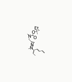 C=C/C=C/C(=C\C)N(C)N1C=C1CN(C)C(=O)OC(C)(C)CC